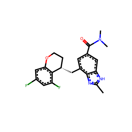 Cc1nc2c(C[C@H]3CCOc4cc(F)cc(F)c43)cc(C(=O)N(C)C)cc2[nH]1